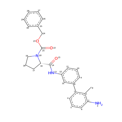 Cc1c(N)cccc1-c1cccc(NC(=O)[C@@H]2CCCN2C(=O)OCc2ccccc2)c1